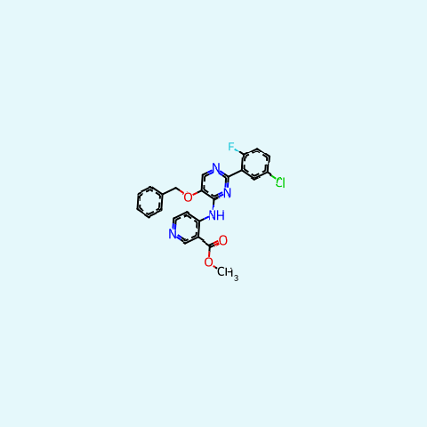 COC(=O)c1cnccc1Nc1nc(-c2cc(Cl)ccc2F)ncc1OCc1ccccc1